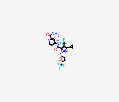 NC(=O)c1cc(NC(=O)c2c(C(F)(F)F)c(C3CC3)nn2C[C@@H]2CC[C@H](C(F)(F)F)O2)ccn1